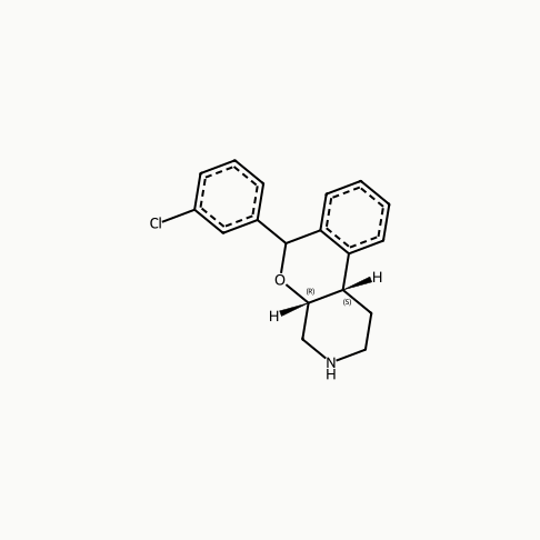 Clc1cccc(C2O[C@H]3CNCC[C@H]3c3ccccc32)c1